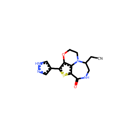 N#CCC1CNC(=O)c2sc(-c3cn[nH]c3)c3c2N1CCO3